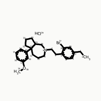 CCc1ccc(CCN2CCCC3(c4cccc(OC)c4)CCCC3C2)c(Br)c1.Cl